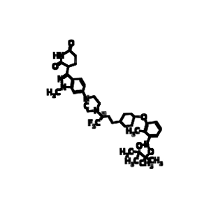 Cc1c(OC2CCC(CC[C@H](N3CCN(c4ccc5c(C6CCC(=O)NC6=O)nn(C)c5c4)CC3)C(F)(F)F)CC2)cccc1B1OC(C)(C)C(C)(C)O1